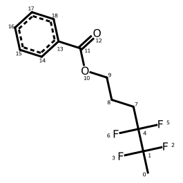 CC(F)(F)C(F)(F)CCCOC(=O)c1ccccc1